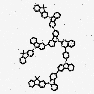 CC1(C)c2ccccc2-c2ccc(-n3c4ccccc4c4cc(-c5ccc6c(c5)c5ccccc5n6-c5ccc(-c6nc(-n7c8ccc(-c9ccc%10c(c9)c9ccccc9n%10-c9ccc%10c(c9)C(C)(C)c9ccccc9-%10)cc8c8cc(-c9ccc%10c(c9)c9ccccc9n%10-c9ccc%10c(c9)C(C)(C)c9ccccc9-%10)ccc87)nc7ccccc67)cc5)ccc43)cc21